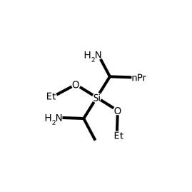 CCCC(N)[Si](OCC)(OCC)C(C)N